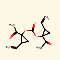 C=CC1CC1(OC(=O)OC1(C(=O)OC)CC1C=C)C(=O)OC